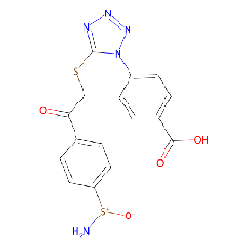 N[S+]([O-])c1ccc(C(=O)CSc2nnnn2-c2ccc(C(=O)O)cc2)cc1